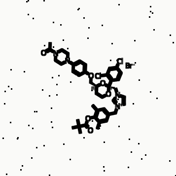 CC(=O)N1CCN(c2ccc(OC[C@@H]3CCO[C@](Cn4cc[n+](Cc5cc(C)c(OC(=O)C(C)(C)C)c(C)c5)c4)(c4ccc(Cl)cc4Cl)O3)cc2)CC1.[Br-]